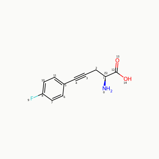 N[C@@H](CC#Cc1ccc(F)cc1)C(=O)O